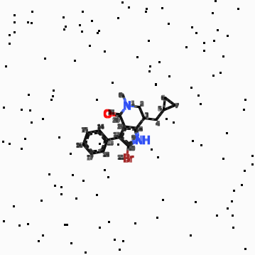 CN1CC(CC2CC2)c2[nH]c(Br)c(-c3ccccc3)c2C1=O